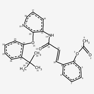 CC(=O)Oc1ccccc1/C=C/C(=O)Nc1cccnc1Oc1ccccc1C(C)(C)C